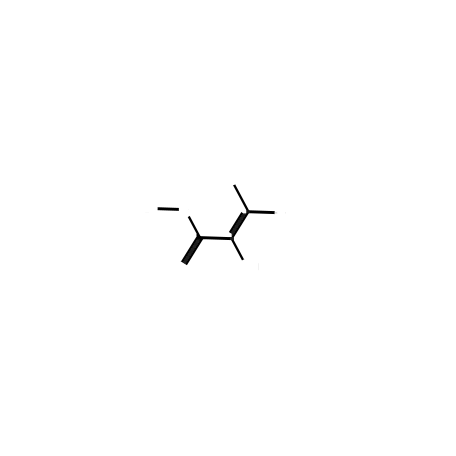 C=C(OCC)/C(O)=C(\C)C(=O)OCC